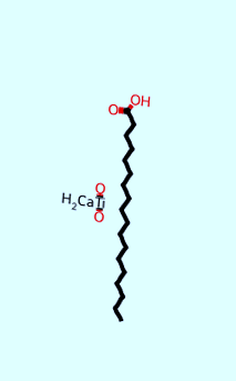 CCCCCCCCCCCCCCCCCC(=O)O.[CaH2].[O]=[Ti]=[O]